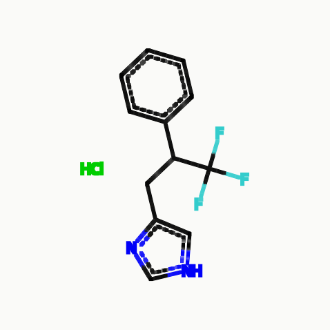 Cl.FC(F)(F)C(Cc1c[nH]cn1)c1ccccc1